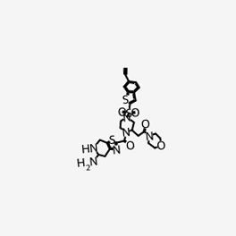 C#Cc1ccc2cc(S(=O)(=O)N3CCN(C(=O)c4nc5c(s4)CNC(N)C5)C(CC(=O)N4CCOCC4)C3)sc2c1